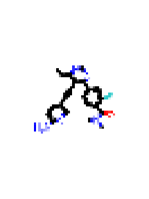 CCc1ncnc(-c2ccc(C(=O)N(C)C)c(F)c2)c1C#Cc1ccc(N)nc1